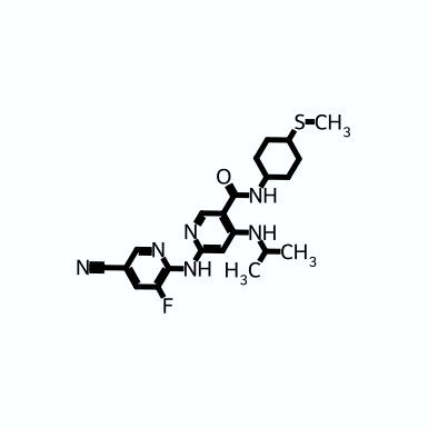 CSC1CCC(NC(=O)c2cnc(Nc3ncc(C#N)cc3F)cc2NC(C)C)CC1